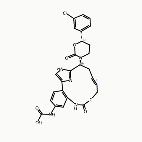 O=C(O)Nc1ccc2c(c1)NC(=O)CC/C=C/C[C@H](N1CC[C@@H](c3cccc(Cl)c3)OC1=O)c1nc-2c[nH]1